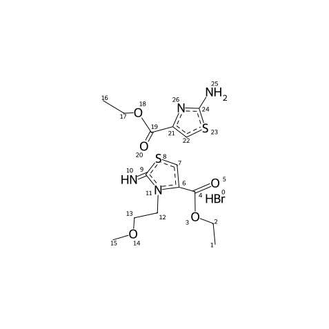 Br.CCOC(=O)c1csc(=N)n1CCOC.CCOC(=O)c1csc(N)n1